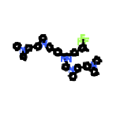 Cc1cc(-c2ccc(-c3cc(-c4ccc(-c5ccc(-n6c7ccccc7c7cc(-c8ccc9c(c8)c8ccccc8n9-c8ccccc8)ccc76)cc5)cc4)nc(-c4cccc(-n5c6ccccc6c6cc(-c7ccc8c(c7)c7ccccc7n8-c7ccccc7)ccc65)c4)n3)cc2)cc(C(F)(F)F)c1